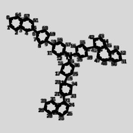 c1ccc2cc(-c3ccc(-c4ccc(N(c5ccc(-c6ccc(-c7cccc8ccccc78)cc6)cc5)c5ccc(-c6cccc7c6ccc6ccccc67)cc5)cc4)cc3)ccc2c1